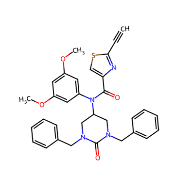 C#Cc1nc(C(=O)N(c2cc(OC)cc(OC)c2)C2CN(Cc3ccccc3)C(=O)N(Cc3ccccc3)C2)cs1